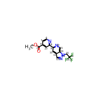 COC(=O)c1ccnc(-c2cc3cnn(CC(F)(F)F)c3cn2)c1